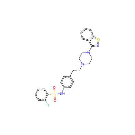 O=S(=O)(Nc1ccc(CCN2CCN(c3nsc4ccccc34)CC2)cc1)c1ccccc1F